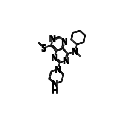 CSc1ncnc2c(N(C)C3CCCCC3)nc(N3CCNCC3)nc12